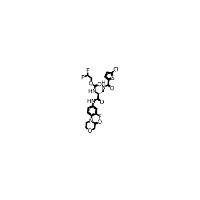 O=C(N[C@H](CNC(=O)c1ccc(Cl)s1)C(=O)Nc1ccc(N2CCOCC2=O)c(F)c1)OCC(F)F